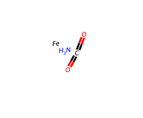 N.O=C=O.[Fe]